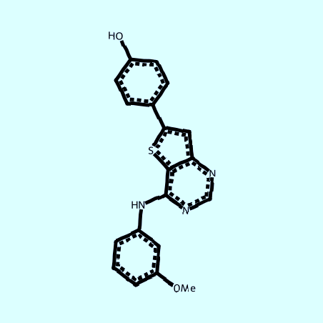 COc1cccc(Nc2ncnc3cc(-c4ccc(O)cc4)sc23)c1